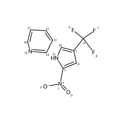 O=[N+]([O-])c1cc(C(F)(F)F)c[nH]1.c1ccncc1